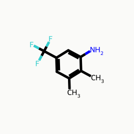 Cc1cc(C(F)(F)F)cc(N)c1C